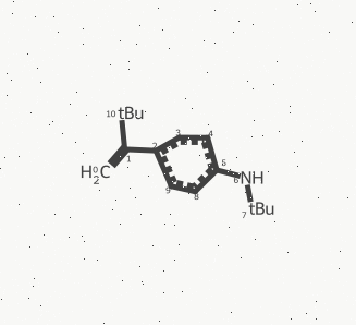 C=C(c1ccc(NC(C)(C)C)cc1)C(C)(C)C